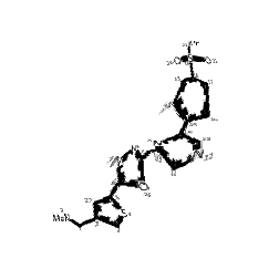 CNCc1csc(-c2nnc(-c3cncc(-c4ccc(S(=O)(=O)C(C)C)cc4)n3)o2)c1